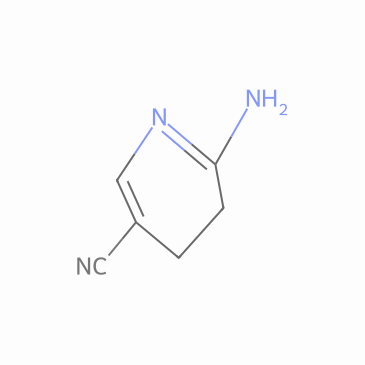 N#CC1=CN=C(N)CC1